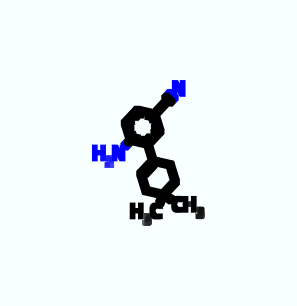 CC1(C)CC=C(c2cc(C#N)ccc2N)CC1